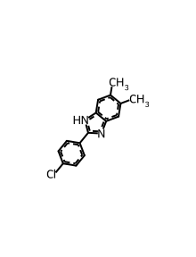 Cc1cc2nc(-c3ccc(Cl)cc3)[nH]c2cc1C